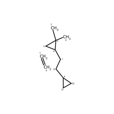 C=C.CC1(C)CC1CCC1CC1